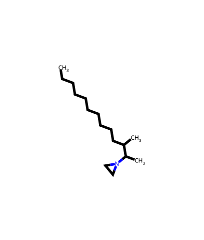 CCCCCCCCCCC(C)C(C)N1CC1